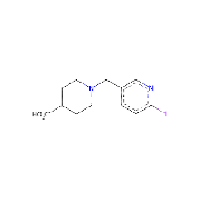 O=C(O)C1CCN(Cc2ccc(I)nc2)CC1